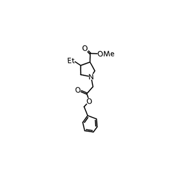 CCC1CN(CC(=O)OCc2ccccc2)CC1C(=O)OC